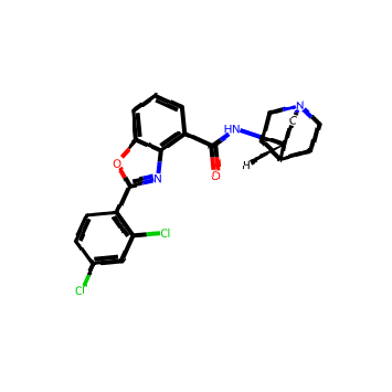 O=C(N[C@@H]1CN2CCC1CC2)c1cccc2oc(-c3ccc(Cl)cc3Cl)nc12